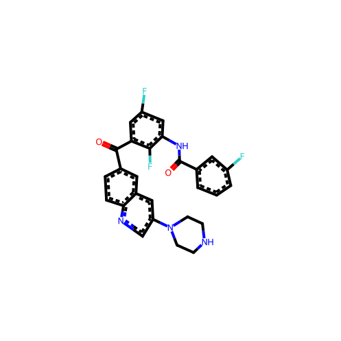 O=C(Nc1cc(F)cc(C(=O)c2ccc3ncc(N4CCNCC4)cc3c2)c1F)c1cccc(F)c1